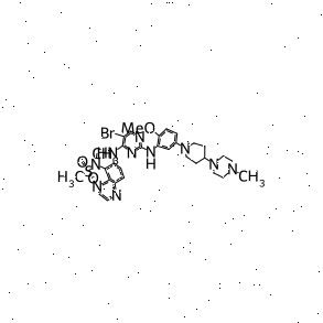 COc1ccc(N2CCC(N3CCN(C)CC3)CC2)cc1Nc1ncc(Br)c(Nc2ccc3nccnc3c2N(C)S(C)(=O)=O)n1